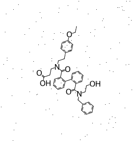 CCOc1ccc(CCN(CCC(=O)O)C(=O)c2ccccc2-c2ccccc2C(=O)N(CCO)Cc2ccccc2)cc1